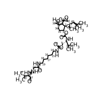 COC1C(OC(=O)N[C@@H](COC(=O)NCCCCCCNC(=O)CNN[C@H](C=O)C(C)C)C(C)C)CC[C@]2(CO2)C1C1(C)O[C@@H]1CC=C(C)C